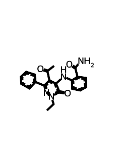 CCn1nc(-c2ccccc2)c(C(C)=O)c(Nc2ccccc2C(N)=O)c1=O